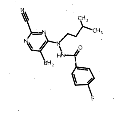 Bc1cnc(C#N)nc1N(CCC(C)C)NC(=O)c1ccc(F)cc1